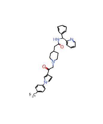 O=C(CC1CCN(CC(=O)c2ccn(-c3ccc(C(F)(F)F)cc3)c2)CC1)NC(c1ccccc1)c1ccccn1